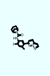 Cc1cc(F)c(NC(=O)N2C3CCCC2C3)cc1-c1ccc2ccnn2n1